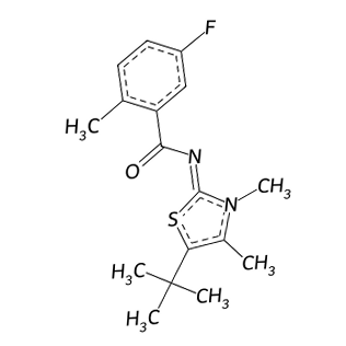 Cc1ccc(F)cc1C(=O)/N=c1\sc(C(C)(C)C)c(C)n1C